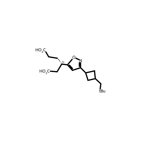 CC(C)(C)CC1CC(c2cc([C@@H](CCC(=O)O)CC(=O)O)on2)C1